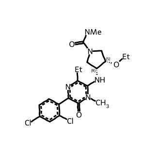 CCO[C@H]1CN(C(=O)NC)C[C@H]1Nc1c(CC)nc(-c2ccc(Cl)cc2Cl)c(=O)n1C